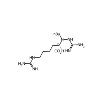 CCCCN(NC(=N)N)[C@@H](CCCCNC(=N)N)C(=O)O